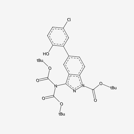 CC(C)(C)OC(=O)N(C(=O)OC(C)(C)C)c1nn(C(=O)OC(C)(C)C)c2ccc(-c3cc(Cl)ccc3O)cc12